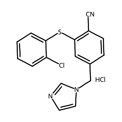 Cl.N#Cc1ccc(Cn2ccnc2)cc1Sc1ccccc1Cl